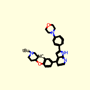 CC(C)(C)N1CCC(Oc2ccc(-c3ccnc4[nH]c(C5=CC=C(N6CCOCC6)C=C=C5)cc34)cc2C#N)CC1